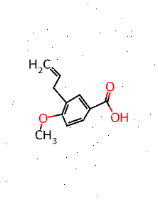 C=CCc1cc(C(=O)O)ccc1OC